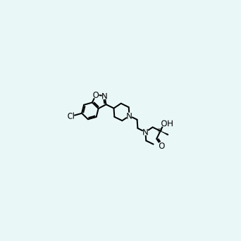 CCN(CCN1CCC(c2noc3cc(Cl)ccc23)CC1)C[C@](C)(O)C=O